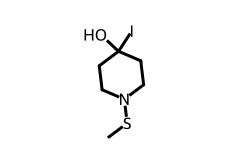 CSN1CCC(O)(I)CC1